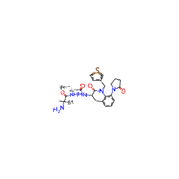 CCC(C)(N)C(=O)N[C@H](CC(C)C)C(=O)NC1Cc2cccc(N3CCCC3=O)c2N(Cc2ccsc2)C1=O